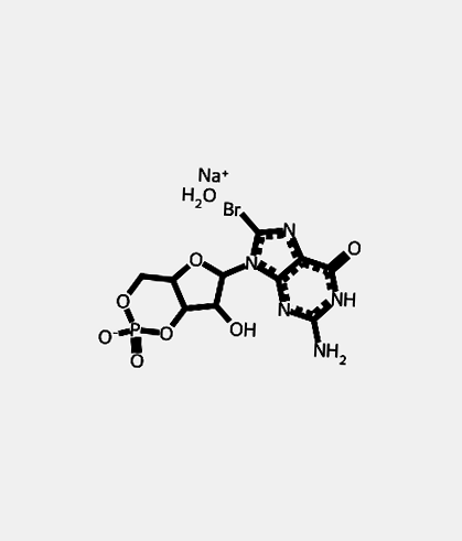 Nc1nc2c(nc(Br)n2C2OC3COP(=O)([O-])OC3C2O)c(=O)[nH]1.O.[Na+]